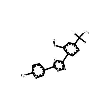 CCSc1cc(C(C)(F)F)ccc1-c1nnc(-c2ccc(C(F)(F)F)nc2)s1